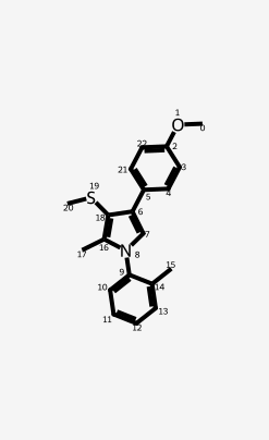 COc1ccc(-c2cn(-c3ccccc3C)c(C)c2SC)cc1